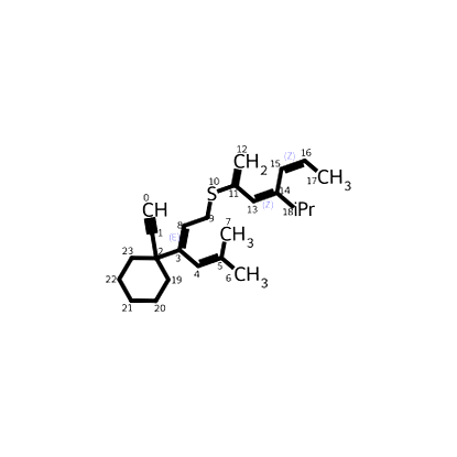 C#CC1(/C(C=C(C)C)=C/CSC(=C)/C=C(\C=C/C)C(C)C)CCCCC1